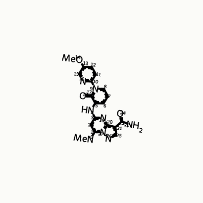 CNc1cc(Nc2cccn(-c3ccc(OC)cn3)c2=O)nc2c(C(N)=O)cnn12